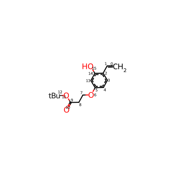 C=Cc1ccc(OCCC(=O)OC(C)(C)C)cc1O